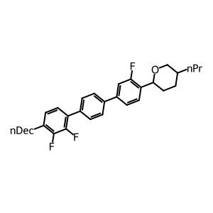 CCCCCCCCCCc1ccc(-c2ccc(-c3ccc(C4CCC(CCC)CO4)c(F)c3)cc2)c(F)c1F